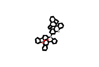 c1ccc(-c2ccccc2N(c2ccc3c(c2)Sc2ccccc2C32c3ccccc3-c3cccc4cccc2c34)c2ccc3c4ccccc4n(-c4ccccc4)c3c2)cc1